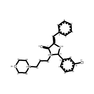 O=C1/C(=C/c2ccccc2)SC(c2cccc(Cl)c2)N1CCCN1CCOCC1